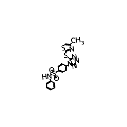 Cc1csc(Sc2nnnn2-c2ccc(S(=O)(=O)Nc3ccccc3)cc2)n1